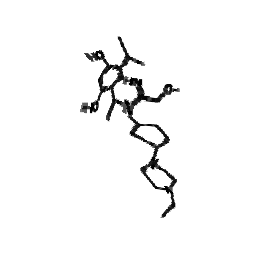 C=C(c1cc(C(C)C)c(O)cc1O)N(C(=N)COC)C1CCC(N2CCN(CC)CC2)CC1